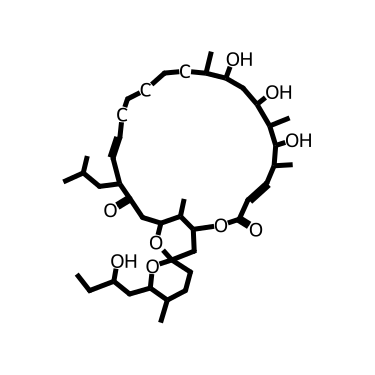 CCC(O)CC1OC2(CCC1C)CC1OC(=O)/C=C/C(C)C(O)C(C)C(O)CC(O)C(C)CCCCC/C=C/C(CC(C)C)C(=O)CC(O2)C1C